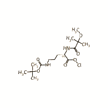 COC(C)(C)C(=O)N[C@@H](CCCNC(=O)OC(C)(C)C)C(=O)OCl